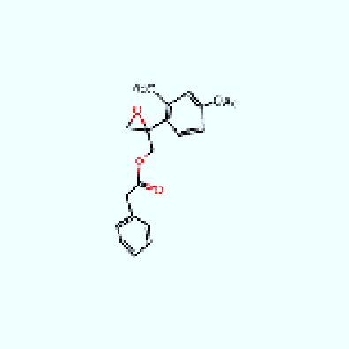 CC(=O)Oc1ccc(C2(COC(=O)Cc3ccccc3)CO2)c(OC(C)=O)c1